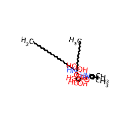 CCCCCCCCCCCCCCCCCCCCCCCCCCN[C@@H](CO[C@H]1O[C@H](COC(=O)Nc2ccc(C(C)C)cc2)[C@H](O)[C@H](O)[C@H]1O)[C@H](O)[C@H](O)CCCCCCCCCCCCCC